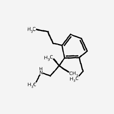 CCCc1cccc(CC)c1C(C)(C)CNC